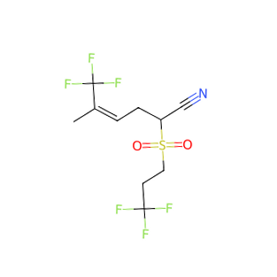 CC(=CCC(C#N)S(=O)(=O)CCC(F)(F)F)C(F)(F)F